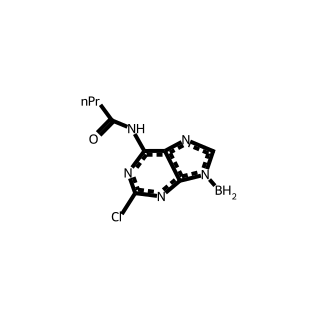 Bn1cnc2c(NC(=O)CCC)nc(Cl)nc21